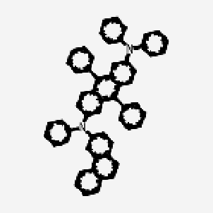 c1ccc(-c2c3ccc(N(c4ccccc4)c4ccc5ccc6ccccc6c5c4)cc3c(-c3ccccc3)c3ccc(N(c4ccccc4)c4ccccc4)cc23)cc1